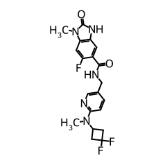 CN(c1ccc(CNC(=O)c2cc3[nH]c(=O)n(C)c3cc2F)cn1)C1CC(F)(F)C1